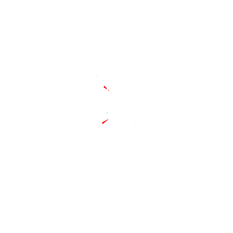 CCO[C@@H]1COC[C@@H]1O